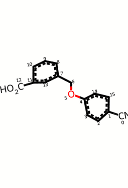 N#Cc1ccc(OCc2cccc(C(=O)O)c2)cc1